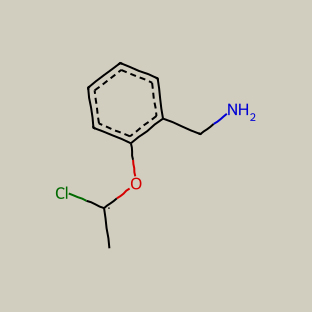 C[C](Cl)Oc1ccccc1CN